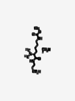 CC(=O)O.CC(C)(C)OC(=O)NCCCCC(C(=O)NCCC(=O)O)N([13CH3])[13CH3]